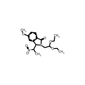 CCOC(CN1C(=O)c2ccc(OC)cc2C1C(C)[N+](=O)[O-])OCC